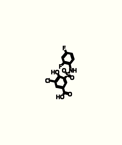 O=C(O)c1cc(Cl)c(O)c(S(=O)(=O)Nc2ccc(F)cc2F)c1